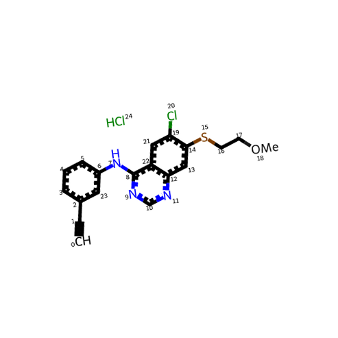 C#Cc1cccc(Nc2ncnc3cc(SCCOC)c(Cl)cc23)c1.Cl